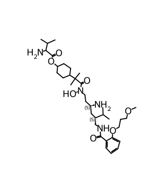 COCCCOc1ccccc1C(=O)NC[C@@H](C[C@H](N)CCN(O)C(=O)C(C)(C)C1CCC(OC(=O)C(N)C(C)C)CC1)C(C)C